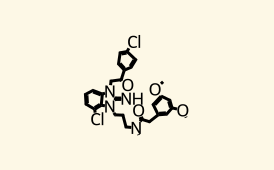 COc1cc(CC(=O)N(C)CCCn2c(=N)n(CC(=O)c3ccc(Cl)cc3)c3cccc(Cl)c32)cc(OC)c1